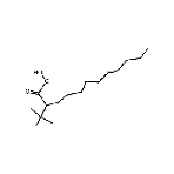 CCCCCCCCCCC(C(=O)OO)C(C)(C)C